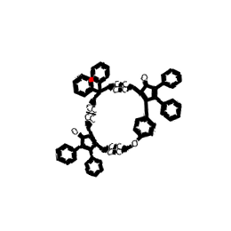 O=C1C(c2ccccc2)=C(c2ccccc2)C2=C1c1ccc(cc1)C(c1ccccc1)(c1ccccc1)c1ccc(cc1)C1=C(C(c3ccccc3)=C(c3ccccc3)C1=O)c1ccc(cc1)Oc1ccc2cc1